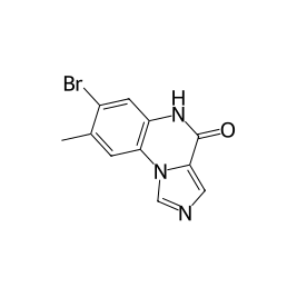 Cc1cc2c(cc1Br)[nH]c(=O)c1cncn12